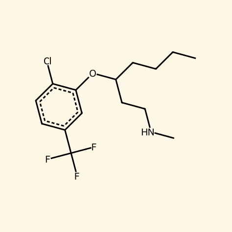 CCCCC(CCNC)Oc1cc(C(F)(F)F)ccc1Cl